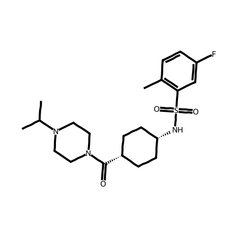 Cc1ccc(F)cc1S(=O)(=O)N[C@H]1CC[C@@H](C(=O)N2CCN(C(C)C)CC2)CC1